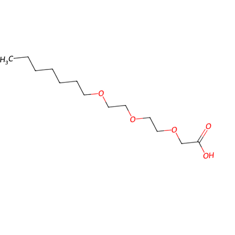 CCCCCCCOCCOCCOCC(=O)O